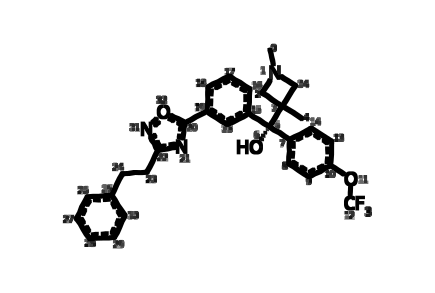 CN1CC(C)([C@@](O)(c2ccc(OC(F)(F)F)cc2)c2cccc(-c3nc(CCc4ccccc4)no3)c2)C1